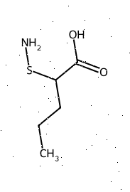 CCCC(SN)C(=O)O